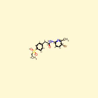 CCS(=O)(=O)c1ccc(CC(=O)Nc2ccc(Br)c(C)n2)cc1